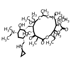 CC[C@H]1OC(=O)C(C)C(=O)[C@H](C)[C@@H](C[C@@H]2O[C@H](CNC3CC3)C[C@H](N(C)C)[C@H]2O)[C@](C)(OC)C[C@@H](C)CN(C)[C@H](C)[C@H]2N(C)C(=O)O[C@]12C